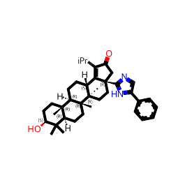 CC(C)C1=C2[C@H]3CC[C@@H]4[C@@]5(C)CC[C@H](O)C(C)(C)[C@@H]5CC[C@@]4(C)[C@]3(C)CC[C@@]2(c2ncc(-c3ccccc3)[nH]2)CC1=O